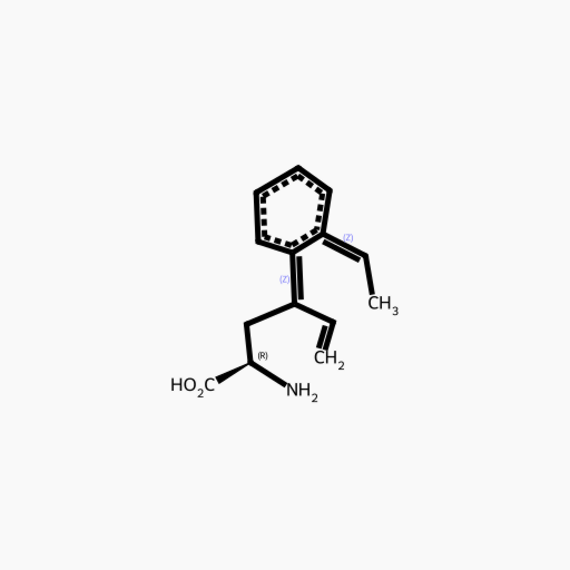 C=C/C(C[C@@H](N)C(=O)O)=c1/cccc/c1=C/C